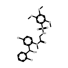 COc1cc(OC)c(S(=O)(=O)NCC(=O)N(C)c2ccc(Cl)cc2C(O)c2ccccc2Cl)cc1OC